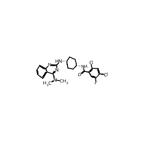 CN(C)c1nc(N[C@H]2CC[C@@H](NC(=O)c3cc(F)c(Cl)cc3Cl)CC2)nc2ccccc12